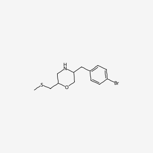 CSCC1CNC(Cc2ccc(Br)cc2)CO1